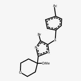 COC1(c2nc(Br)c(Sc3ccc(C(C)=O)cc3)s2)CCOCC1